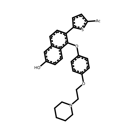 CC(=O)c1ccc(-c2ccc3cc(O)ccc3c2Oc2ccc(OCCN3CCCCC3)cc2)s1